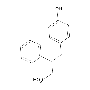 O=C(O)CC(Cc1ccc(O)cc1)c1ccccc1